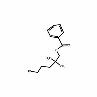 CC(C)(CCCO)COC(=O)c1ccccc1